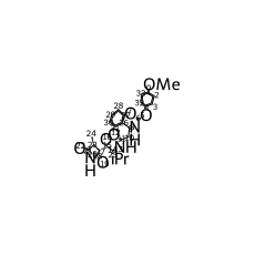 COc1ccc(OC(=O)NC(CC(=O)N[C@H](C(=O)[C@@H]2C(=O)NC(=O)[C@H]2C)C(C)C)c2ccccc2)cc1